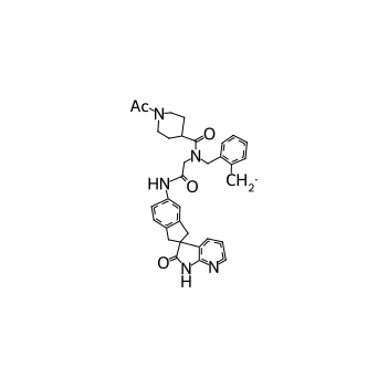 [CH2]c1ccccc1CN(CC(=O)Nc1ccc2c(c1)CC1(C2)C(=O)Nc2ncccc21)C(=O)C1CCN(C(C)=O)CC1